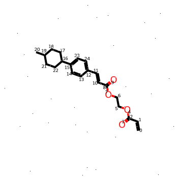 C=CC(=O)OCCOC(=O)/C=C/c1ccc(C2CCC(C)CC2)cc1